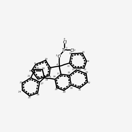 [Cl][Ti]([Cl])[O]C(c1ccccc1)(c1ccccc1)c1c(C2C=Cc3ccccc32)ccc2ccccc12